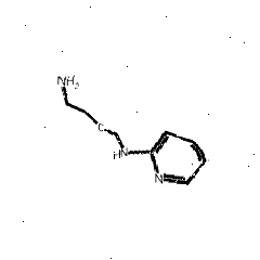 NCCCCNc1cc[c]cn1